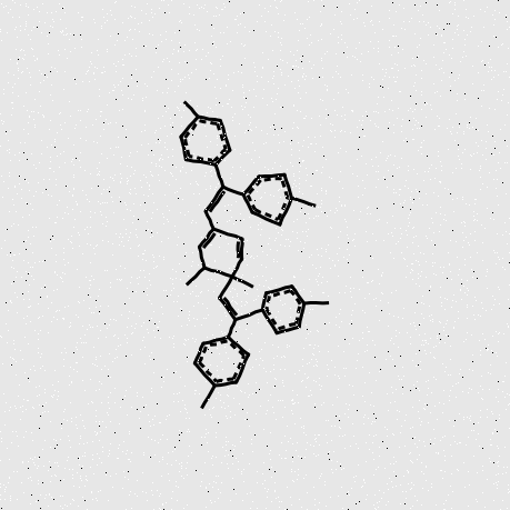 Cc1ccc(C(=CC2=CC(C)C(C)(C=C(c3ccc(C)cc3)c3ccc(C)cc3)C=C2)c2ccc(C)cc2)cc1